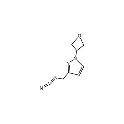 [N-]=[N+]=NCc1ccn(C2COC2)n1